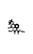 CCC(=O)Oc1c(B2OC(C)(C)C(C)(C)O2)cccc1N(C(=O)OC(C)(C)C)C(=O)OC(C)(C)C